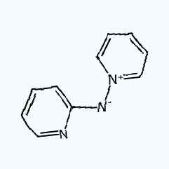 c1cc[n+]([N-]c2ccccn2)cc1